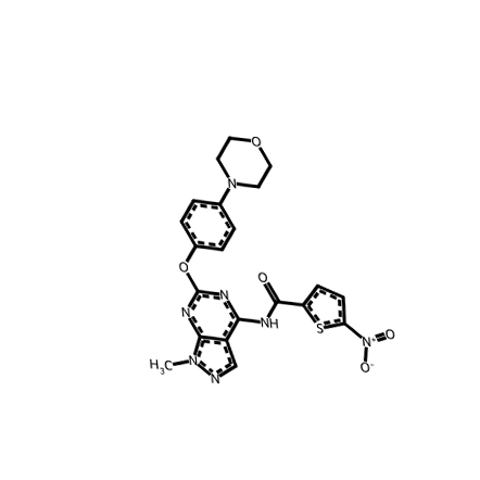 Cn1ncc2c(NC(=O)c3ccc([N+](=O)[O-])s3)nc(Oc3ccc(N4CCOCC4)cc3)nc21